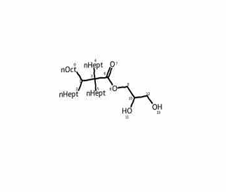 CCCCCCCCC(CCCCCCC)C(CCCCCCC)(CCCCCCC)C(=O)OCC(O)CO